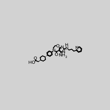 Nc1nc(NCCCc2ccccn2)nc2c1C(=O)N(c1ccc([C@H]3CC[C@H](CC(=O)O)CC3)cc1)CCO2